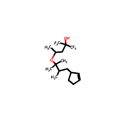 CC(CC(O)(C(F)(F)F)C(F)(F)F)OC(C)(C)C(C)CC1C=CCC1